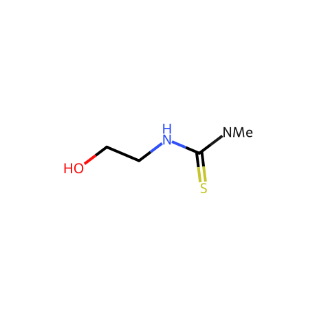 CNC(=S)NCCO